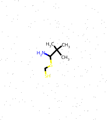 CC(C)(C)C(N)SCS